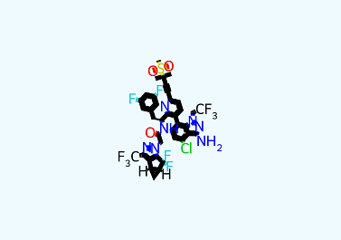 CC(C)(C#Cc1ccc(-c2ccc(Cl)c3c(N)nn(CC(F)(F)F)c23)c([C@H](Cc2cc(F)cc(F)c2)NC(=O)Cn2nc(C(F)(F)F)c3c2C(F)(F)[C@@H]2C[C@H]32)n1)S(C)(=O)=O